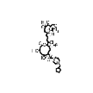 CCC(O)C(C)C1OC1CC(C)(O)/C=C/C=C(\C)C1OC(=O)CC(O)CCC(C)(O)C(OC(=O)N2CCCN(CC3CCCC3)CC2)/C=C/C1C